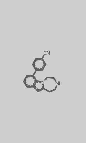 N#Cc1ccc(-c2cccc3cc4n(c23)CCNCC4)cc1